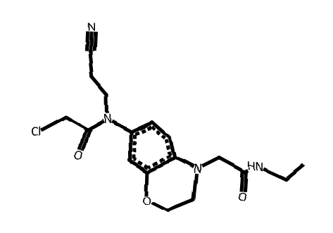 CCNC(=O)CN1CCOc2cc(N(CCC#N)C(=O)CCl)ccc21